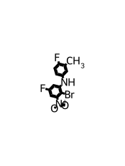 Cc1cc(Nc2cc(F)cc([N+](=O)[O-])c2Br)ccc1F